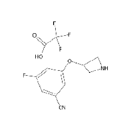 N#Cc1cc(F)cc(OC2CNC2)c1.O=C(O)C(F)(F)F